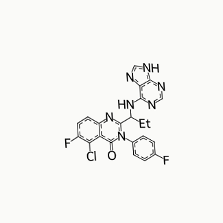 CCC(Nc1ncnc2[nH]cnc12)c1nc2ccc(F)c(Cl)c2c(=O)n1-c1ccc(F)cc1